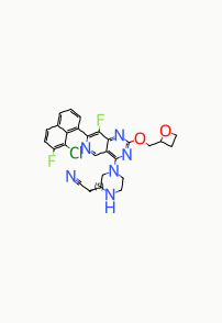 N#CC[C@H]1CN(c2nc(OCC3CCO3)nc3c(F)c(-c4cccc5ccc(F)c(Cl)c45)ncc23)CCN1